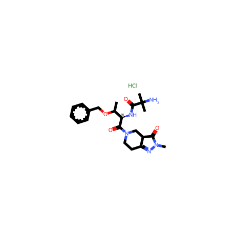 CC(OCc1ccccc1)[C@@H](NC(=O)C(C)(C)N)C(=O)N1CCC2=NN(C)C(=O)C2C1.Cl